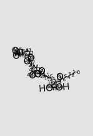 CCCCCCCC(=O)CC[C@@H]1[C@@H](C/C=C\CCCC(=O)Oc2ccc(/C=C/C(=O)Oc3cccc(CO[N+](=O)[O-])c3)cc2OC)[C@@H](O)C[C@H]1O